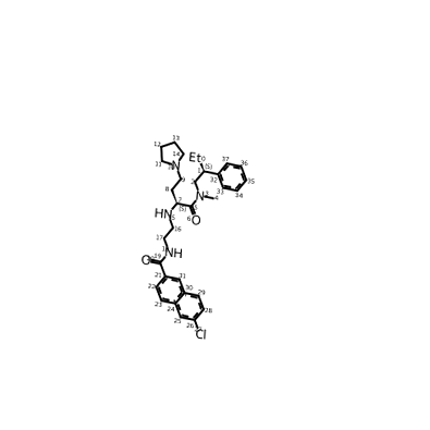 CC[C@H](CN(C)C(=O)[C@H](CCN1CCCC1)NCCNC(=O)c1ccc2cc(Cl)ccc2c1)c1ccccc1